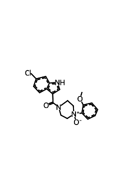 COc1ccccc1[N+]1([O-])CCN(C(=O)c2c[nH]c3cc(Cl)ccc23)CC1